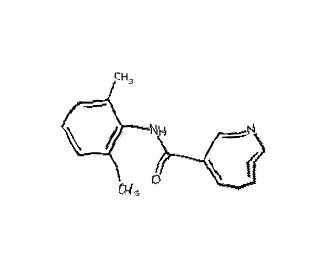 Cc1cccc(C)c1NC(=O)c1cccnc1